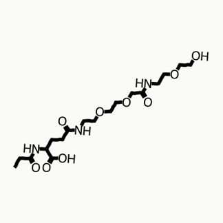 CCC(=O)NC(CCC(=O)NCCOCCOCC(=O)NCCOCCO)C(=O)O